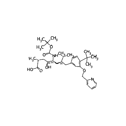 CC(C[C@H](O)[C@H](C[C@H](Cc1ccc(C(C)(C)C)c(OCc2ccccn2)c1)C(C)C)NC(=O)OC(C)(C)C)C(=O)O